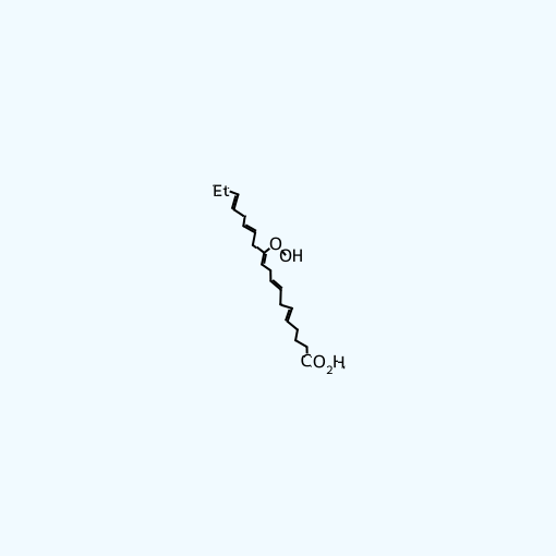 CCC=CCC=CCC(=CCC=CCC=CCCCC(=O)O)OO